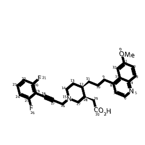 COc1ccc2nccc(CCC[C@@H]3CCN(CC#Cc4c(F)cccc4F)C[C@@H]3CC(=O)O)c2c1